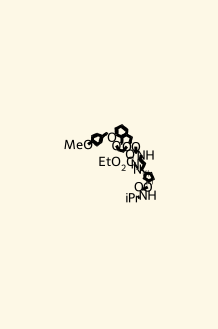 CCOC(=O)n1nc([C@H]2CC[C@@H](OC(=O)NC(C)C)C2)cc1NC(=O)OCCc1cccc(OCc2ccc(OC)cc2)c1C1OCCO1